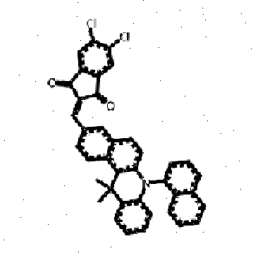 CC1(C)c2ccccc2N(c2cccc3ccccc23)c2ccc3cc(C=C4C(=O)c5cc(Cl)c(Cl)cc5C4=O)ccc3c21